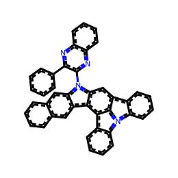 c1ccc(-c2nc3ccccc3nc2-n2c3cc4ccccc4cc3c3c4c5ccccc5n5c6ccccc6c(cc32)c45)cc1